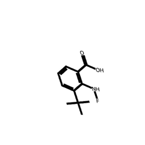 CC(C)(C)c1cccc(C(=O)O)c1NF